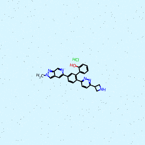 Cl.Cn1cc2cc(-c3ccc(-c4ccc(C5CNC5)nn4)c(-c4ccccc4O)c3)ncc2n1